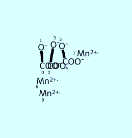 O=C([O-])[O-].O=C([O-])[O-].O=C([O-])[O-].[Mn+2].[Mn+2].[Mn+2]